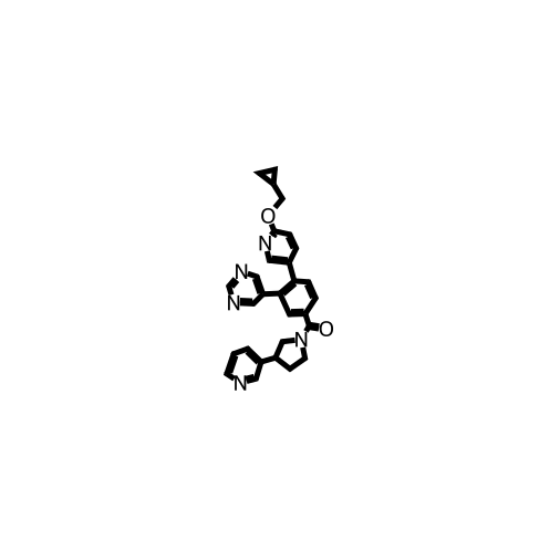 O=C(c1ccc(-c2ccc(OCC3CC3)nc2)c(-c2cncnc2)c1)N1CCC(c2cccnc2)C1